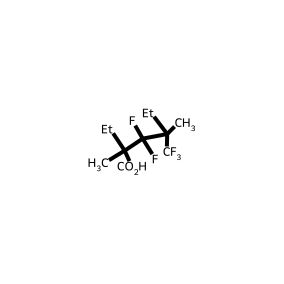 CCC(C)(C(=O)O)C(F)(F)C(C)(CC)C(F)(F)F